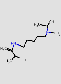 C=C(NCCCCCN(C)C(C)C)C(C)C